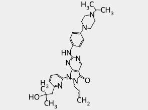 C=CCn1c(=O)c2cnc(Nc3ccc(N4CCN(C(C)C)CC4)cc3)nc2n1-c1cccc(CC(C)(C)O)n1